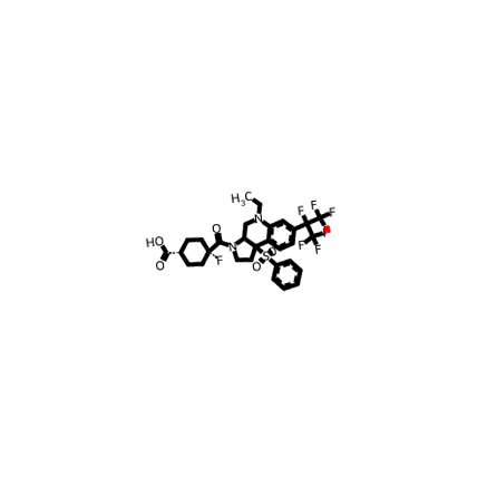 CCN1CC2N(C(=O)[C@]3(F)CC[C@@H](C(=O)O)CC3)CCC2(S(=O)(=O)c2ccccc2)c2ccc(C(F)(C(F)(F)F)C(F)(F)F)cc21